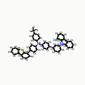 CC(C)(C)c1ccc(N(c2ccc(-c3cccc(-n4c5ccccc5c5cccc(F)c54)c3)cc2)c2ccc(-c3cccc4c3sc3ccccc34)cc2)cc1